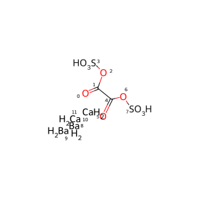 O=C(OS(=O)(=O)O)C(=O)OS(=O)(=O)O.[BaH2].[BaH2].[CaH2].[CaH2]